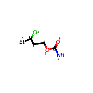 CCC(Cl)CCOC([NH])=O